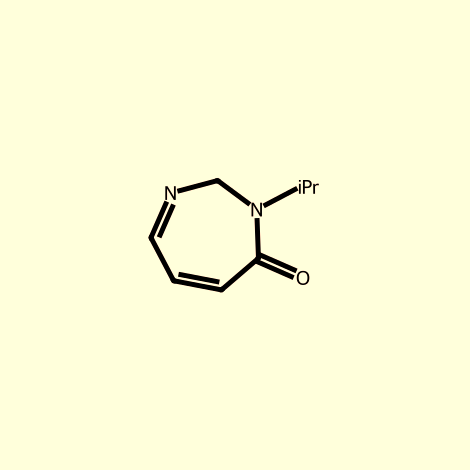 CC(C)N1CN=CC=CC1=O